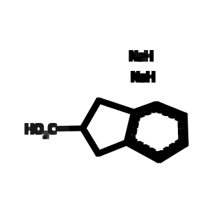 O=C(O)C1Cc2ccccc2C1.[NaH].[NaH]